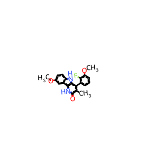 COc1ccc2[nH]c3c(-c4cccc(OC)c4F)c(C)c(=O)[nH]c3c2c1